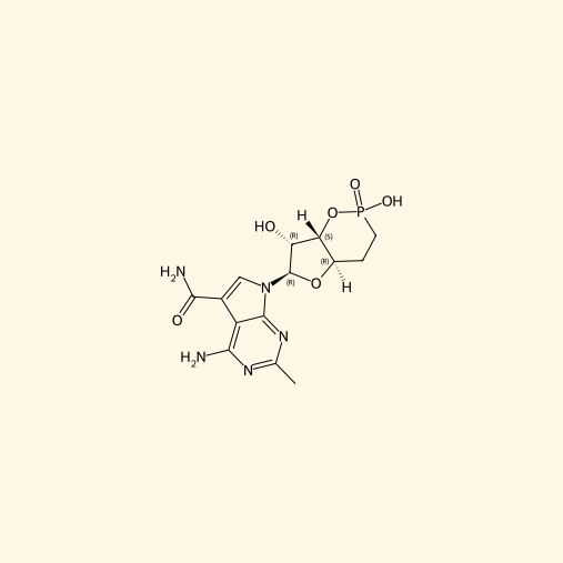 Cc1nc(N)c2c(C(N)=O)cn([C@@H]3O[C@@H]4CCP(=O)(O)O[C@H]4[C@H]3O)c2n1